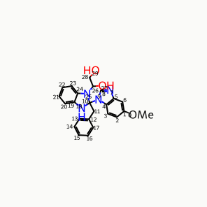 COc1ccc2c(c1)ncn2C1(Cc2ccccc2)Nc2ccccc2N1C(O)CO